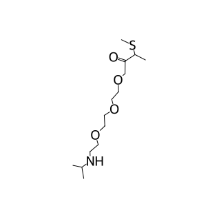 CSC(C)C(=O)COCCOCCOCCNC(C)C